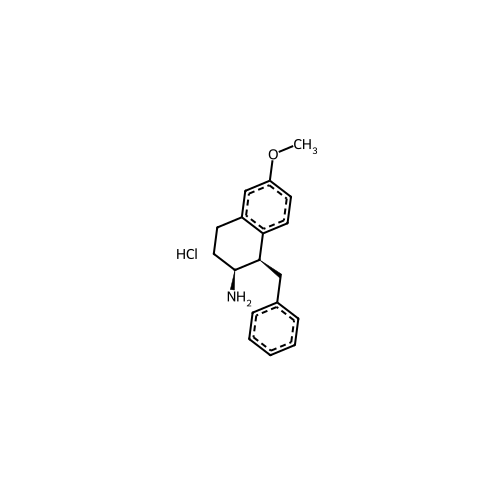 COc1ccc2c(c1)CC[C@H](N)[C@@H]2Cc1ccccc1.Cl